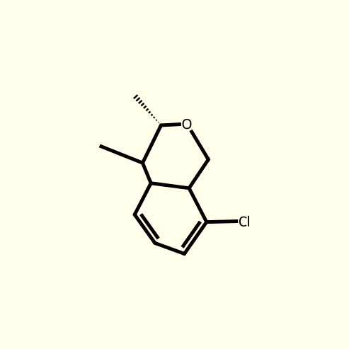 CC1C2C=CC=C(Cl)C2CO[C@H]1C